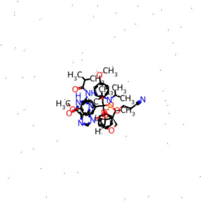 COc1ccc(C(O[C@@H](C)[C@@]23CO[C@@H]([C@H](n4cnc5c(=O)[nH]c(NC(=O)C(C)C)nc54)O2)[C@@H]3OP(OCCC#N)N(C(C)C)C(C)C)(c2ccccc2)c2ccc(OC)cc2)cc1